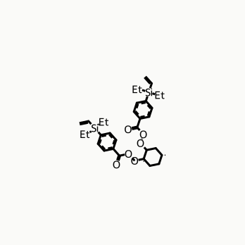 C=C[Si](CC)(CC)c1ccc(C(=O)OO[C]2CC[CH]CC2OOC(=O)c2ccc([Si](C=C)(CC)CC)cc2)cc1